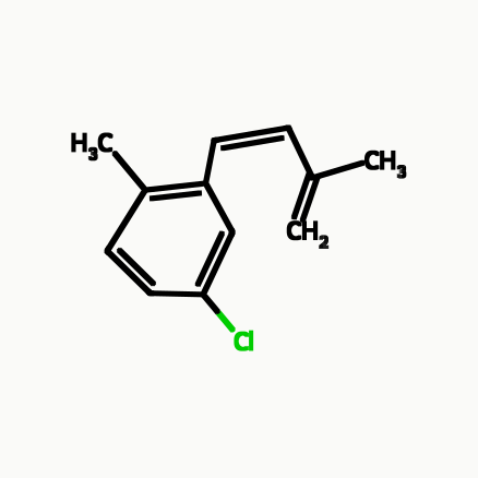 C=C(C)/C=C\c1cc(Cl)ccc1C